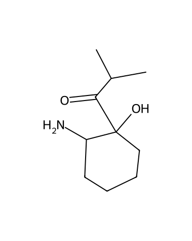 CC(C)C(=O)C1(O)CCCCC1N